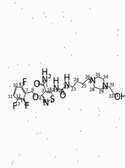 NC(=O)c1c(OCc2c(F)ccc(F)c2F)nsc1NC(=O)NCCCCN1CCN(CCO)CC1